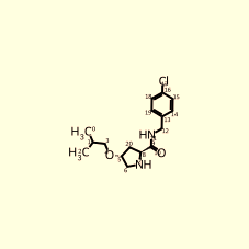 CC(C)CO[C@H]1CN[C@H](C(=O)NCc2ccc(Cl)cc2)C1